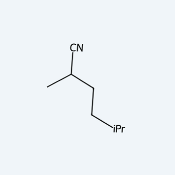 CC(C)CCC(C)C#N